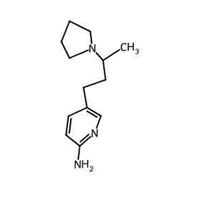 CC(CCc1ccc(N)nc1)N1CCCC1